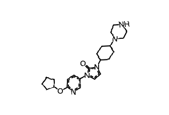 O=c1n(-c2ccc(OC3CCCC3)nc2)ccn1C1CCC(N2CCNCC2)CC1